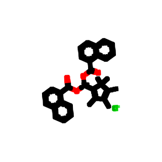 CC1=C(C)C(C)(C)[C]([Ti+]([O]C(=O)c2cccc3ccccc23)[O]C(=O)c2cccc3ccccc23)=C1C.[Cl-]